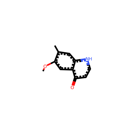 COc1cc2c(=O)cc[nH]c2cc1C